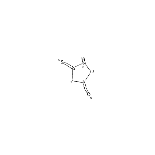 O=C1CNC(=S)C1